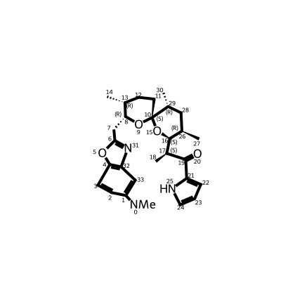 CNc1ccc2oc(C[C@H]3O[C@@]4(CC[C@H]3C)O[C@H]([C@H](C)C(=O)c3ccc[nH]3)[C@H](C)C[C@H]4C)nc2c1